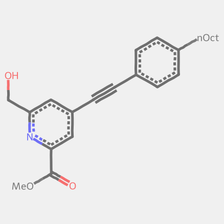 CCCCCCCCc1ccc(C#Cc2cc(CO)nc(C(=O)OC)c2)cc1